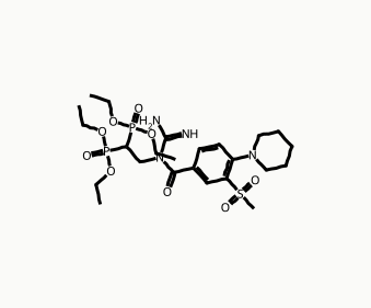 CCOP(=O)(OCC)C(CN(C(=N)N)C(=O)c1ccc(N2CCCCC2)c(S(C)(=O)=O)c1)P(=O)(OCC)OCC